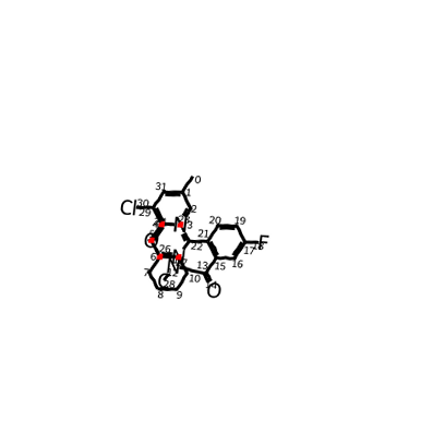 Cc1cnc(OC2CC3CCC2N(C(=O)c2cc(F)ccc2-c2ncccn2)C3)c(Cl)c1